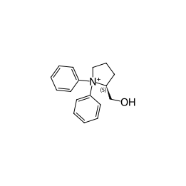 OC[C@@H]1CCC[N+]1(c1ccccc1)c1ccccc1